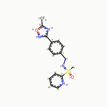 CS(=O)(=NCc1ccc(-c2noc(C(F)(F)F)n2)cc1)c1ccccn1